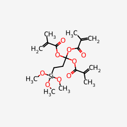 C=C(C)C(=O)OC(CC[Si](OC)(OC)OC)(OC(=O)C(=C)C)OC(=O)C(=C)C